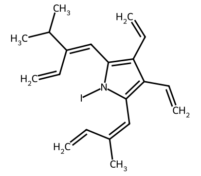 C=C/C(C)=C\c1c(C=C)c(C=C)c(/C=C(\C=C)C(C)C)n1I